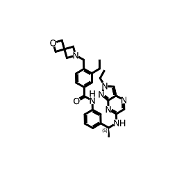 CCc1cc(C(=O)Nc2cccc([C@H](C)Nc3cnc4cn(CC)nc4n3)c2)ccc1CN1CC2(COC2)C1